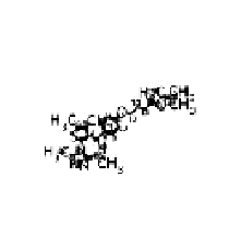 Cc1sc2c(c1C)C(c1ccc(OCCCC(=O)OC(C)(C)C)cc1)=N[C@@H](C)c1nnc(C)n1-2